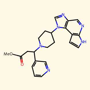 COC(=O)CC(c1cccnc1)N1CCC(n2cnc3cnc4[nH]ccc4c32)CC1